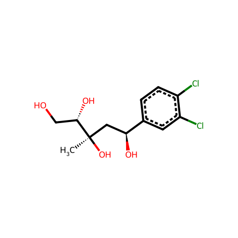 C[C@@](O)(C[C@H](O)c1ccc(Cl)c(Cl)c1)[C@@H](O)CO